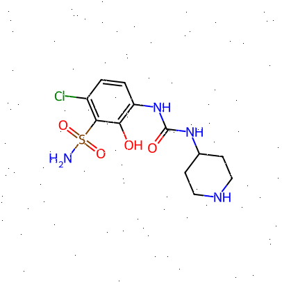 NS(=O)(=O)c1c(Cl)ccc(NC(=O)NC2CCNCC2)c1O